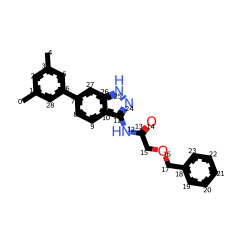 Cc1cc(C)cc(-c2ccc3c(NC(=O)COCc4ccccc4)n[nH]c3c2)c1